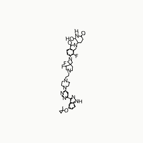 CC1(Oc2ccc3[nH]nc(-c4cc(N5CCN(CCN6CCC7(CN(c8ccc9c(c8F)CN(C8CCC(=O)NC8O)C9=O)C7)C(F)(F)C6)CC5)ncn4)c3c2)CC1